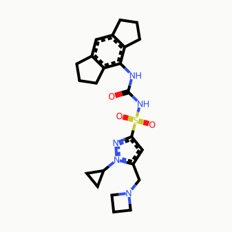 O=C(Nc1c2c(cc3c1CCC3)CCC2)NS(=O)(=O)c1cc(CN2CCC2)n(C2CC2)n1